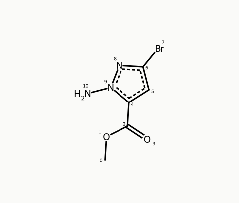 COC(=O)c1cc(Br)nn1N